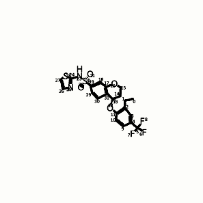 CCc1cc(C(F)(F)F)ccc1O[C@@H]1CCOc2cc(S(=O)(=O)Nc3nccs3)ccc21